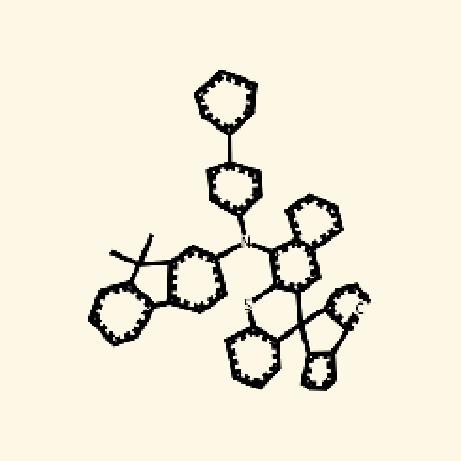 CC1(C)c2ccccc2-c2ccc(N(c3ccc(-c4ccccc4)cc3)c3c4c(cc5ccccc35)C3(c5ccccc5S4)c4ccccc4-c4ccccc43)cc21